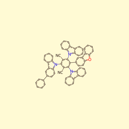 N#Cc1c(-n2c3ccccc3c3cc(-c4ccccc4)ccc32)c(C#N)c(-n2c3ccccc3c3ccccc32)c(-c2ccc3oc4ccccc4c3c2)c1-n1c2ccccc2c2ccccc21